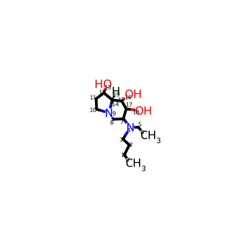 CCCCN(CC)C1CN2CCC(O)[C@@H]2[C@@H](O)C1O